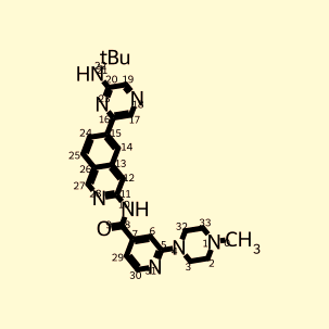 CN1CCN(c2cc(C(=O)Nc3cc4cc(-c5cncc(NC(C)(C)C)n5)ccc4cn3)ccn2)CC1